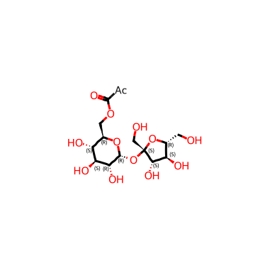 CC(=O)C(=O)OC[C@H]1O[C@H](O[C@]2(CO)O[C@H](CO)[C@@H](O)[C@@H]2O)[C@H](O)[C@@H](O)[C@@H]1O